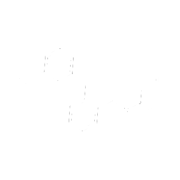 CC(C)(C)OC(=O)NCc1ccccc1Oc1cccc(C(=O)O)c1